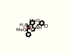 COc1ccc(Cl)cc1CNC1CCN(C(=O)[C@H](OC)c2ccccc2)C1c1ccccc1N(C)C